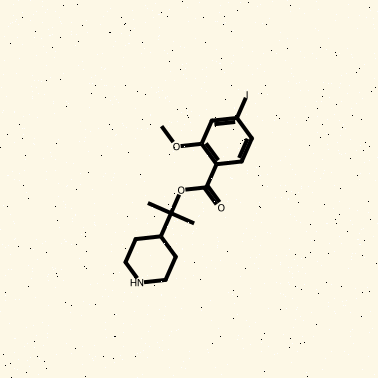 COc1cc(I)ccc1C(=O)OC(C)(C)C1CCNCC1